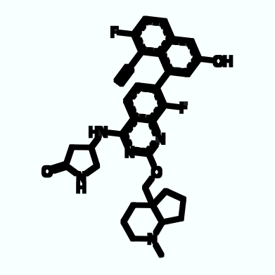 C#Cc1c(F)ccc2cc(O)cc(-c3ccc4c(NC5CNC(=O)C5)nc(OCC56CCCC5N(C)CCC6)nc4c3F)c12